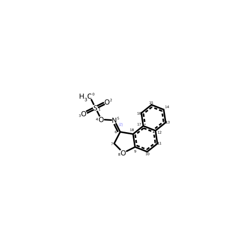 CS(=O)(=O)O/N=C1\COc2ccc3ccccc3c21